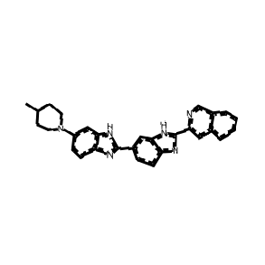 CC1CCN(c2ccc3nc(-c4ccc5nc(-c6cc7ccccc7cn6)[nH]c5c4)[nH]c3c2)CC1